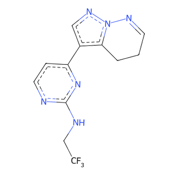 FC(F)(F)CNc1nccc(-c2cnn3c2CCC=N3)n1